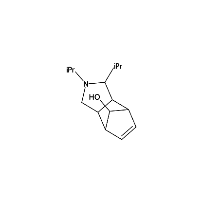 CC(C)C1C2C3C=CC(C3O)C2CN1C(C)C